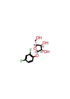 OC[C@H]1O[C@@H](Oc2ccc(F)cc2F)[C@H](O)[C@@H]1O